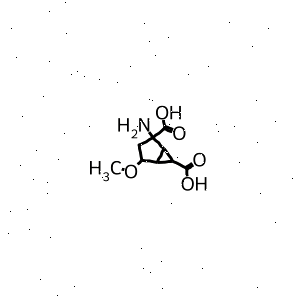 COC1CC(N)(C(=O)O)C2C(C(=O)O)C12